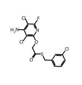 Nc1c(Cl)c(F)nc(OCC(=O)SCc2cccc(Cl)c2)c1Cl